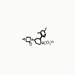 Cc1cc(F)ccc1C1CC(N2CCN(C)CC2=O)CCN1C(=O)O